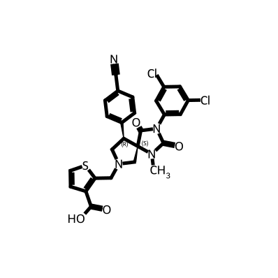 CN1C(=O)N(c2cc(Cl)cc(Cl)c2)C(=O)[C@]12CN(Cc1sccc1C(=O)O)C[C@H]2c1ccc(C#N)cc1